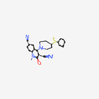 Cn1c(=O)c(C#N)c(N2CCC(Sc3ccccc3)CC2)c2cc(C#N)ccc21